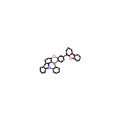 c1ccc2c(c1)B1c3ccc(-c4cccc5c4oc4ccccc45)cc3Oc3ccc4c5ccccc5n-2c4c31